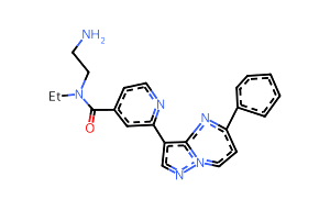 CCN(CCN)C(=O)c1ccnc(-c2cnn3ccc(-c4ccccc4)nc23)c1